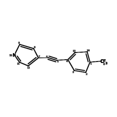 FC(F)(F)c1ccc(C#Cc2ccncc2)cc1